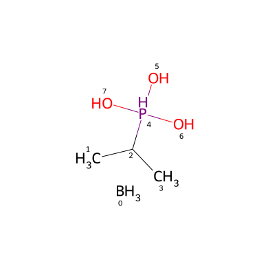 B.CC(C)[PH](O)(O)O